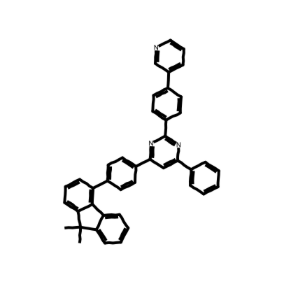 CC1(C)c2ccccc2-c2c(-c3ccc(-c4cc(-c5ccccc5)nc(-c5ccc(-c6cccnc6)cc5)n4)cc3)cccc21